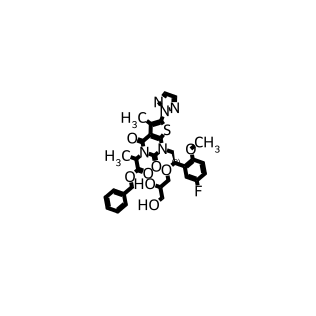 COc1ccc(F)cc1[C@H](Cn1c(=O)n(C(C)C(=O)OCc2ccccc2)c(=O)c2c(C)c(-n3nccn3)sc21)OCC(O)CO